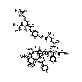 CO[C@H]1C(=O)[C@]2(C)[C@@H](OC)C[C@H]3OCC3[C@@]2(OC(C)=O)[C@H](OC(=O)c2ccccc2)[C@]2(O)C[C@H](OC(=O)[C@H](OC(=O)N(C)CCN(C)C(=O)OCc3ccc(NC(=O)[C@H](CCCNC(N)=O)NC(=O)[C@@H](NC(C)C)C(C)C)cc3)C(NC(=O)OC(C)(C)C)c3ccccc3)C(C)=C1C2(C)C